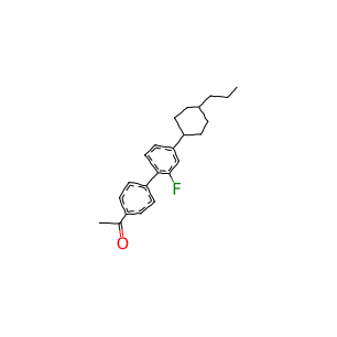 CCCC1CCC(c2ccc(-c3ccc(C(C)=O)cc3)c(F)c2)CC1